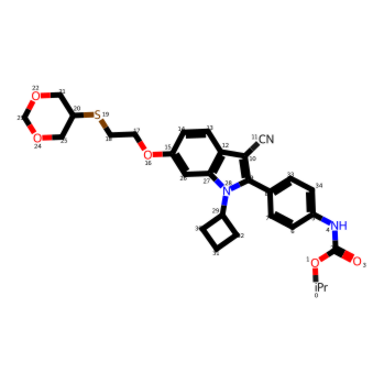 CC(C)OC(=O)Nc1ccc(-c2c(C#N)c3ccc(OCCSC4COCOC4)cc3n2C2CCC2)cc1